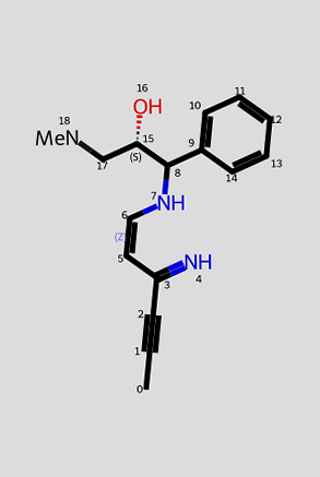 CC#CC(=N)/C=C\NC(c1ccccc1)[C@@H](O)CNC